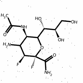 CC(=O)N[C@H]1C([C@H](O)[C@H](O)CO)O[C@@](F)(C(N)=O)[C@@H](F)C1N